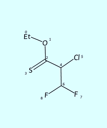 CCOC(=S)C(Cl)C(F)F